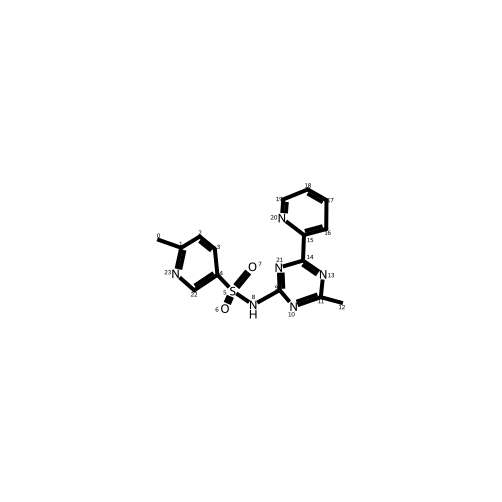 Cc1ccc(S(=O)(=O)Nc2nc(C)nc(-c3ccccn3)n2)cn1